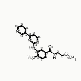 COCCNC(=O)c1ccc(C)c(Nc2nccc(-c3cccnc3)n2)c1